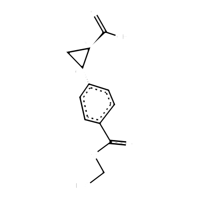 CCOC(=O)c1ccc([C@@H]2C[C@H]2C(=O)O)cc1